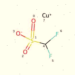 O=S(=O)([O-])C(F)F.[Cu+]